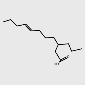 CCC/C=C/CCCC(CCC)CC(=O)O